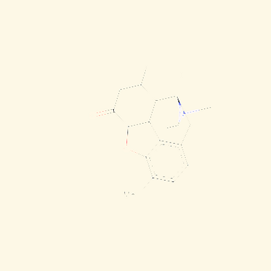 CCC1CC(=O)C2Oc3c(OC)ccc4c3[C@@]23CCN(C)[C@H](C4)[C@H]13